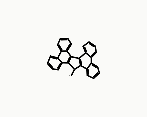 [CH2]C1c2c(c3ccccc3c3ccccc23)-c2c1c1ccccc1c1ccccc21